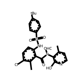 Cc1ccnc(O)c1N(C=O)C(=O)c1c(NS(=O)(=O)c2ccc(C(C)(C)C)cc2)ccc(Cl)c1C